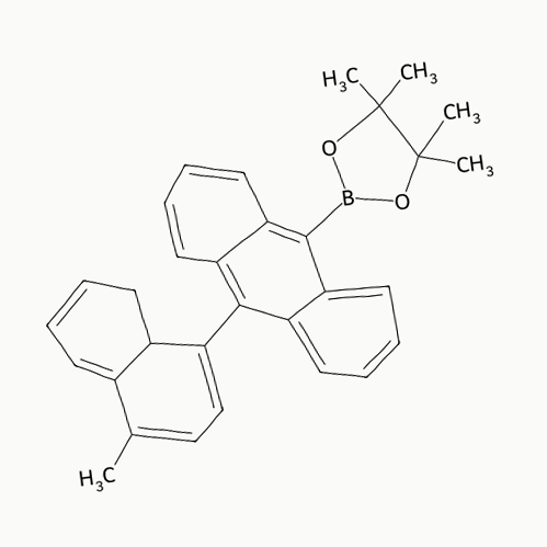 CC1=CC=C(c2c3ccccc3c(B3OC(C)(C)C(C)(C)O3)c3ccccc23)C2CC=CC=C12